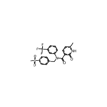 Cc1ccc(C(=O)N(Cc2ccc(S(C)(=O)=O)cc2)c2cccc(C(F)(F)F)c2)c(=O)[nH]1